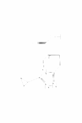 O=C(O)[C@@H]1CCc2nnc(C3CC3)n2C1